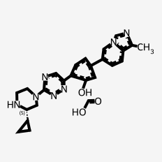 Cc1ncn2cc(-c3ccc(-c4cnc(N5CCN[C@@H](C6CC6)C5)nn4)c(O)c3)ccc12.O=CO